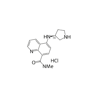 CNC(=O)c1ccc(N[C@H]2CCNC2)c2cccnc12.Cl